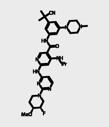 CO[C@H]1CCN(c2nccc(Nc3cc(NC(C)C)c(C(=O)Nc4cc(N5CCN(C)CC5)cc(C(C)(C)C#N)c4)cn3)n2)C[C@H]1F